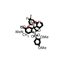 CNC.COc1ccc(S(=O)(=O)N2C(=O)C(c3cccnc3OC)(N3CCC(F)(F)C[C@H]3C(=O)O)c3cc(Cl)ccc32)c(OC)c1